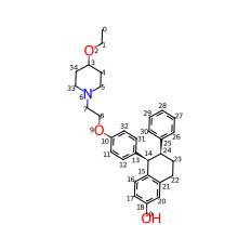 CCOC1CCN(CCOc2ccc([C@@H]3c4ccc(O)cc4CC[C@@H]3c3ccccc3)cc2)CC1